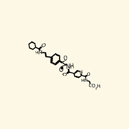 O=C(O)CNC(=O)c1ccc(C(=O)NS(=O)(=O)c2ccc(CCNC(=O)C3CCCCC3)cc2)cn1